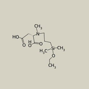 CCO[Si](C)(C)CCCN(C)[C@@H](CC(=O)O)C(=O)O